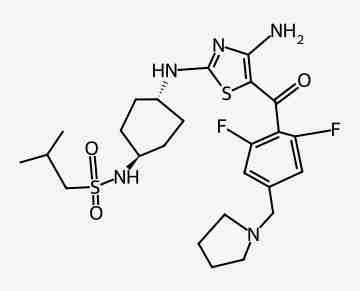 CC(C)CS(=O)(=O)N[C@H]1CC[C@H](Nc2nc(N)c(C(=O)c3c(F)cc(CN4CCCC4)cc3F)s2)CC1